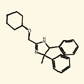 CC1(c2ccccc2)N=C(COC2CCCCC2)NC1c1ccccc1